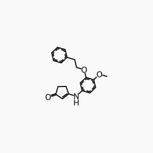 COc1ccc(NC2=CC(=O)CC2)cc1OCCc1ccccc1